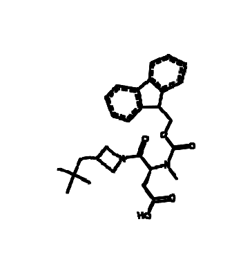 CN(C(=O)OCC1c2ccccc2-c2ccccc21)[C@@H](CC(=O)O)C(=O)N1CC(CC(C)(C)C)C1